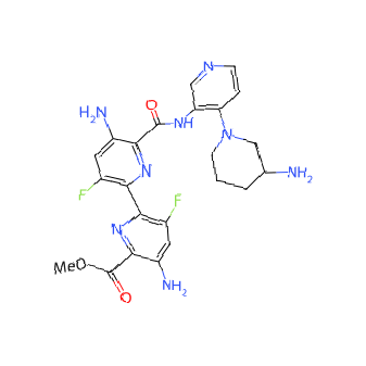 COC(=O)c1nc(-c2nc(C(=O)Nc3cnccc3N3CCCC(N)C3)c(N)cc2F)c(F)cc1N